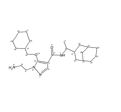 CC(NC(=O)c1cnn(CCN)c1OCC1CCCCC1)C1CC2CCCC(C2)C1